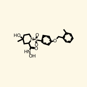 Cc1ccccc1COc1ccc(S(=O)(=O)N2CCC(C)(O)CC2C(=O)NO)cc1